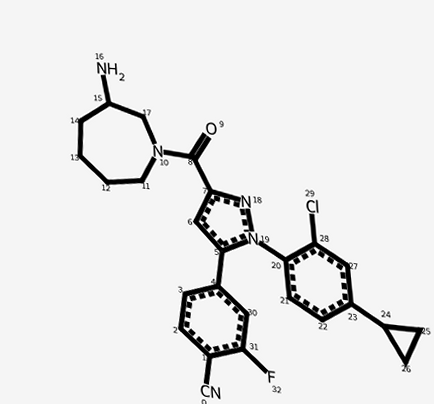 N#Cc1ccc(-c2cc(C(=O)N3CCCCC(N)C3)nn2-c2ccc(C3CC3)cc2Cl)cc1F